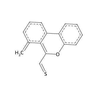 C=c1cccc2c1=C(C=S)Oc1ccccc1-2